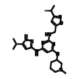 CC(C)c1cc(CNc2nc(Nc3cc(C(C)C)[nH]n3)cc(OC3CCCN(C)C3)n2)on1